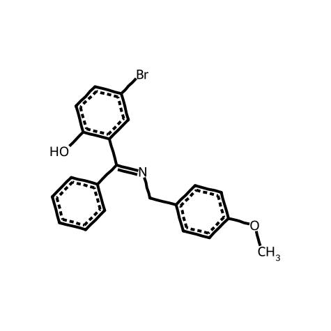 COc1ccc(C/N=C(\c2ccccc2)c2cc(Br)ccc2O)cc1